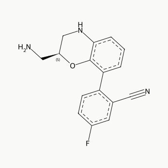 N#Cc1cc(F)ccc1-c1cccc2c1O[C@@H](CN)CN2